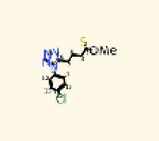 COC(=S)CCCc1nnnn1-c1ccc(Cl)cc1